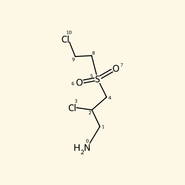 NCC(Cl)CS(=O)(=O)CCCl